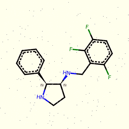 Fc1ccc(F)c(CN[C@H]2CCN[C@H]2c2ccccc2)c1F